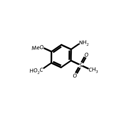 COc1cc(N)c(S(C)(=O)=O)cc1C(=O)O